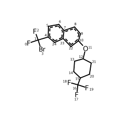 FC(F)(Br)c1ccc2ccc(OC3CCC(C(F)(F)F)CC3)cc2c1